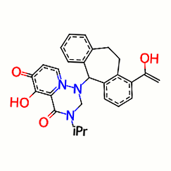 C=C(O)c1cccc2c1CCc1ccccc1C2N1CN(C(C)C)C(=O)c2c(O)c(=O)ccn21